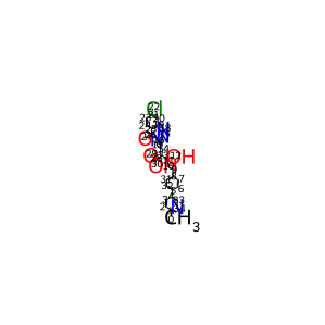 Cc1ccc(-c2ccc(CCC(O)C(CCn3nnc4cc(Cl)ccc4c3=O)C(=O)O)cc2)cn1